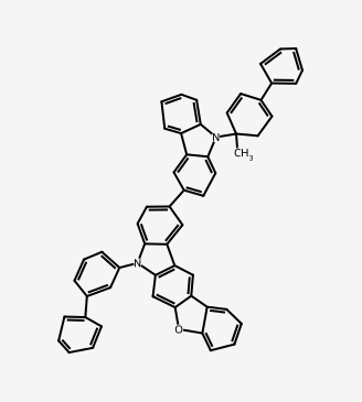 CC1(n2c3ccccc3c3cc(-c4ccc5c(c4)c4cc6c(cc4n5-c4cccc(-c5ccccc5)c4)oc4ccccc46)ccc32)C=CC(c2ccccc2)=CC1